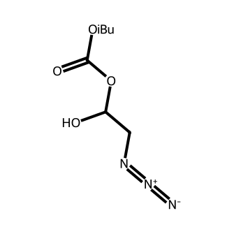 CC(C)COC(=O)OC(O)CN=[N+]=[N-]